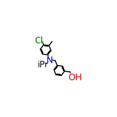 Cc1cc(N(Cc2cccc(CO)c2)C(C)C)ccc1Cl